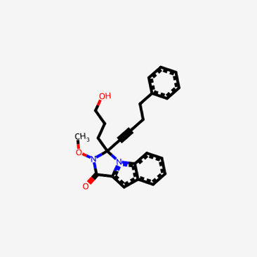 CON1C(=O)c2cc3ccccc3n2C1(C#CCCc1ccccc1)CCCO